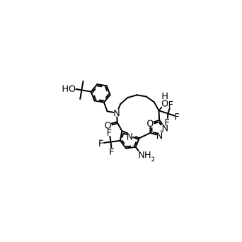 CC(C)(O)c1cccc(CN2CCCCC[C@](O)(C(F)(F)F)c3nnc(o3)-c3nc(c(C(F)(F)F)cc3N)C2=O)c1